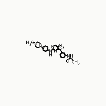 C=CC(=O)Nc1cccc(-c2onc3cnc(Nc4ccc(N5CCN(C)CC5)cc4)nc23)c1